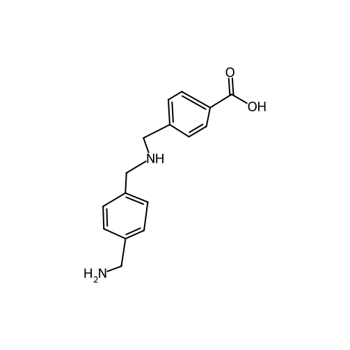 NCc1ccc(CNCc2ccc(C(=O)O)cc2)cc1